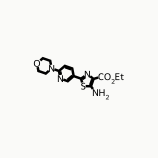 CCOC(=O)c1nc(-c2ccc(N3CCOCC3)nc2)sc1N